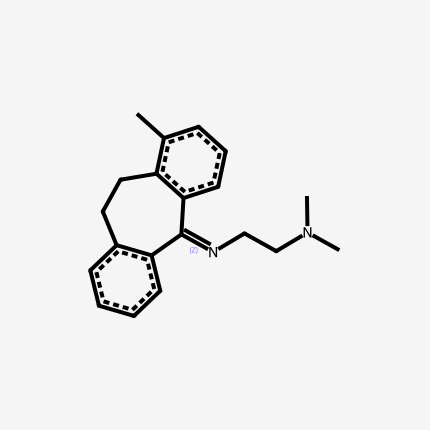 Cc1cccc2c1CCc1ccccc1/C2=N/CCN(C)C